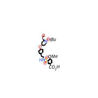 COc1ccc(C(=O)O)cc1S(=O)(=O)NCCc1ccc(OC2CCN(OC(C)(C)C)C(=C=O)C2)cc1